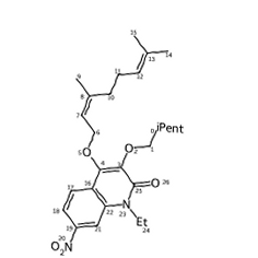 CCCC(C)COc1c(OCC=C(C)CCC=C(C)C)c2ccc([N+](=O)[O-])cc2n(CC)c1=O